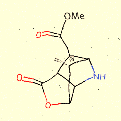 COC(=O)C1C2C(=O)OC3C2NC1[C@H]3C